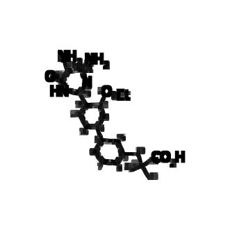 CCOc1cc(-c2cccc(CC(C)(C)C(=O)O)c2)ccc1-c1nc(N)c(N)c(=O)[nH]1